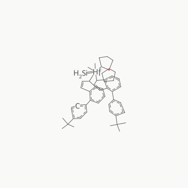 CC(C)(C)c1ccc(-c2cccc3c2C=C[CH]3[Hf]([CH3])([CH3])(=[SiH2])([CH]2CCCC2)([CH]2CCCC2)[CH]2C=Cc3c(-c4ccc(C(C)(C)C)cc4)cccc32)cc1